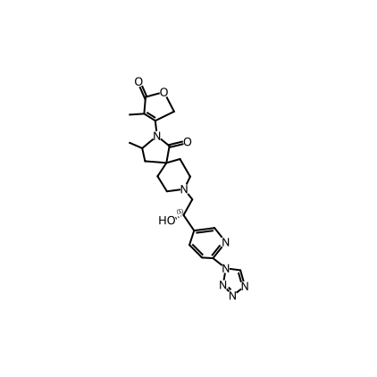 CC1=C(N2C(=O)C3(CCN(C[C@@H](O)c4ccc(-n5cnnn5)nc4)CC3)CC2C)COC1=O